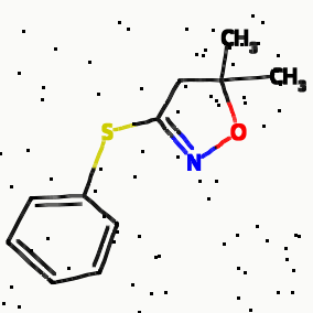 CC1(C)CC(Sc2ccccc2)=NO1